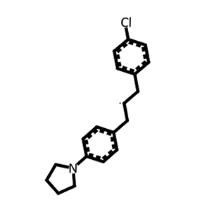 Clc1ccc(C[CH]Cc2ccc(N3CCCC3)cc2)cc1